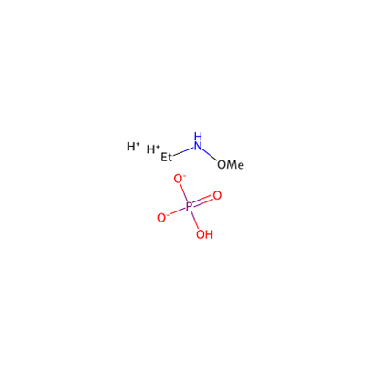 CCNOC.O=P([O-])([O-])O.[H+].[H+]